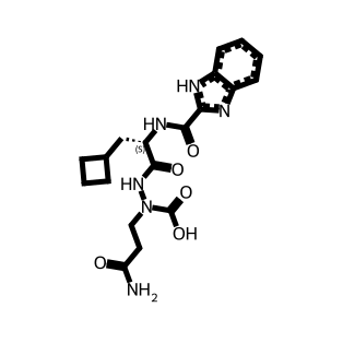 NC(=O)CCN(NC(=O)[C@H](CC1CCC1)NC(=O)c1nc2ccccc2[nH]1)C(=O)O